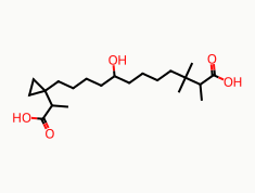 CC(C(=O)O)C(C)(C)CCCCC(O)CCCCC1(C(C)C(=O)O)CC1